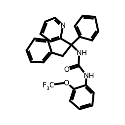 O=C(Nc1ccccc1OC(F)(F)F)NC(Cc1ccccc1)(c1ccccc1)c1ccccn1